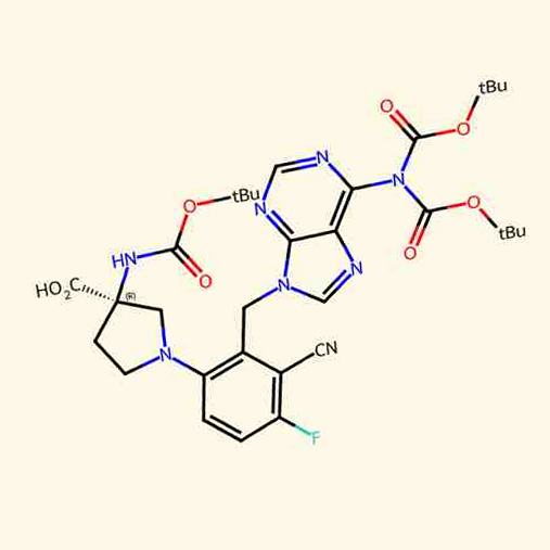 CC(C)(C)OC(=O)N[C@]1(C(=O)O)CCN(c2ccc(F)c(C#N)c2Cn2cnc3c(N(C(=O)OC(C)(C)C)C(=O)OC(C)(C)C)ncnc32)C1